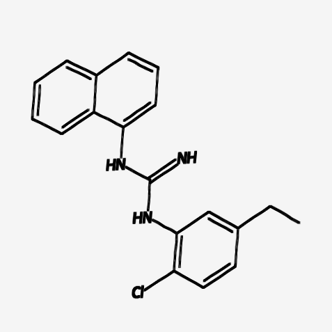 CCc1ccc(Cl)c(NC(=N)Nc2cccc3ccccc23)c1